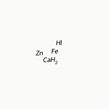 I.[CaH2].[Fe].[Zn]